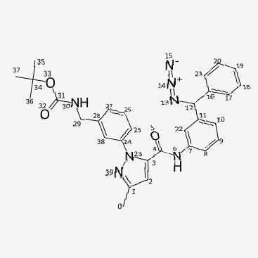 Cc1cc(C(=O)Nc2cccc(C(N=[N+]=[N-])c3ccccc3)c2)n(-c2cccc(CNC(=O)OC(C)(C)C)c2)n1